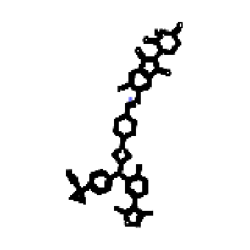 Cc1ccc(-c2c(C)noc2C)cc1N(c1ccc(C2(C#N)CC2)cc1)C1CN(C2CCC(/C=N/c3cc4c(cc3F)C(=O)N(C3CCC(=O)NC3=O)C4=O)CC2)C1